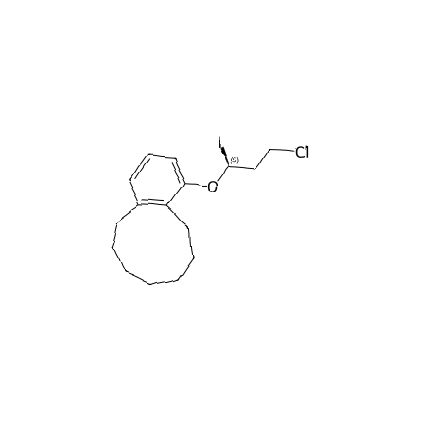 ClCC[C@H](I)Oc1cccc2c1CCCCCCC2